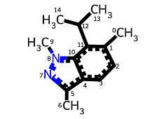 Cc1ccc2c(C)nn(C)c2c1C(C)C